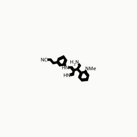 CNc1ccccc1C(CN)/C(C=N)=C/Nc1cccc(CCC#N)c1